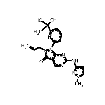 C=CCn1c(=O)c2cnc(Nc3ccn(C)n3)nc2n1-c1cccc(C(C)(C)O)n1